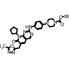 Cc1nnc(Cc2cc3cnc(Nc4ccc(N5CCN(C(=O)OC(C)(C)C)CC5)cc4)nc3n(C3CCCC3)c2=O)o1